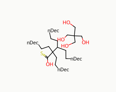 CCCCCCCCCCCCC(CCCCCCCCCCCC)C(CCCCCCCCCCCC)(CCCCCCCCCCCC)C(O)=S.OCC(CO)(CO)CO